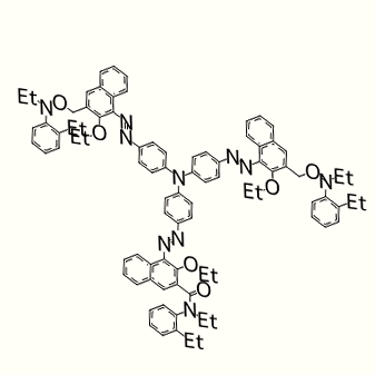 CCOc1c(CON(CC)c2ccccc2CC)cc2ccccc2c1N=Nc1ccc(N(c2ccc(N=Nc3c(OCC)c(CON(CC)c4ccccc4CC)cc4ccccc34)cc2)c2ccc(N=Nc3c(OCC)c(C(=O)N(CC)c4ccccc4CC)cc4ccccc34)cc2)cc1